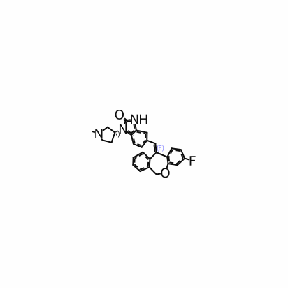 CN1CC[C@@H](n2c(=O)[nH]c3cc(/C=C4\c5ccccc5COc5cc(F)ccc54)ccc32)C1